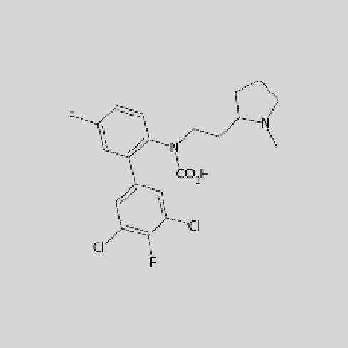 CN1CCCC1CCN(C(=O)O)c1ccc(F)cc1-c1cc(Cl)c(F)c(Cl)c1